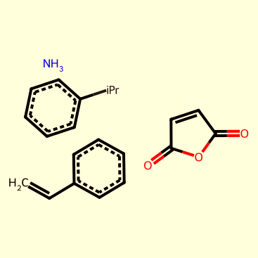 C=Cc1ccccc1.CC(C)c1ccccc1.N.O=C1C=CC(=O)O1